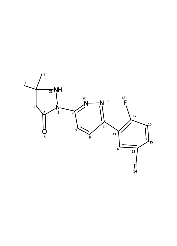 CC1(C)CC(=O)N(c2ccc(-c3cc(F)ccc3F)nn2)N1